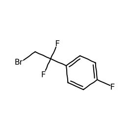 Fc1ccc(C(F)(F)CBr)cc1